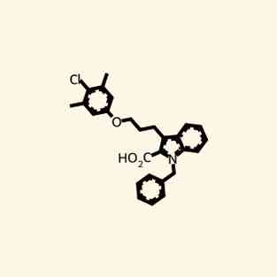 Cc1cc(OCCCc2c(C(=O)O)n(Cc3ccccc3)c3ccccc23)cc(C)c1Cl